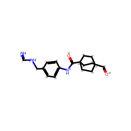 N=CNCc1ccc(NC(=O)C23CCC(C=O)(CC2)CC3)cc1